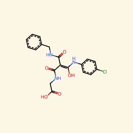 O=C(O)CNC(=O)/C(C(=O)NCc1ccccc1)=C(\O)Nc1ccc(Cl)cc1